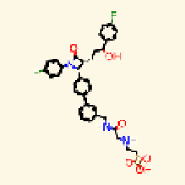 O=C(CNCCS(=O)(=O)O)NCc1cccc(-c2ccc([C@@H]3[C@@H](CC[C@H](O)c4ccc(F)cc4)C(=O)N3c3ccc(F)cc3)cc2)c1